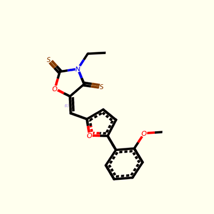 CCN1C(=S)O/C(=C/c2ccc(-c3ccccc3OC)o2)C1=S